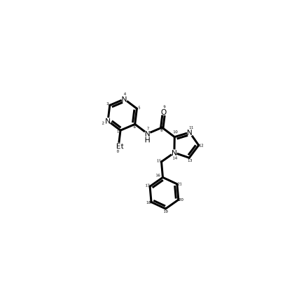 CCc1ncncc1NC(=O)c1nccn1Cc1ccccc1